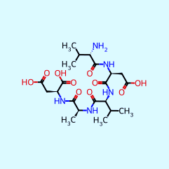 CC(C)[C@H](N)C(=O)N[C@@H](CC(=O)O)C(=O)N[C@H](C(=O)N[C@@H](C)C(=O)N[C@@H](CC(=O)O)C(=O)O)C(C)C